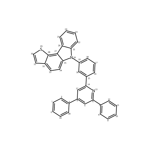 c1ccc(-c2cc(-c3ccccc3)nc(-c3cccc(-n4c5ccccc5c5c6sccc6ccc54)c3)c2)cc1